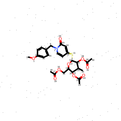 COc1ccc(Cn2ccc(S[C@H]3OC(COC(C)=O)[C@H](OC(C)=O)C(C)C3OC(C)=O)cc2=O)cc1